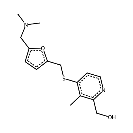 Cc1c(SCc2ccc(CN(C)C)o2)ccnc1CO